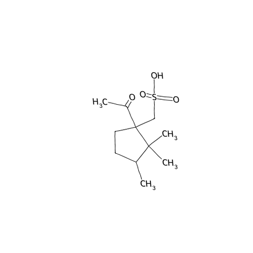 CC(=O)C1(CS(=O)(=O)O)CCC(C)C1(C)C